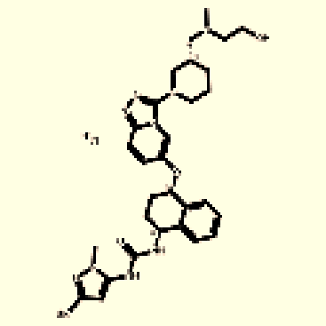 CN(CCO)C[C@@H]1CCCN(c2nnc3ccc(O[C@@H]4CC[C@H](NC(=O)Nc5cc(C(C)(C)C)nn5C)c5ccccc54)cn23)C1.[Cl-].[H+]